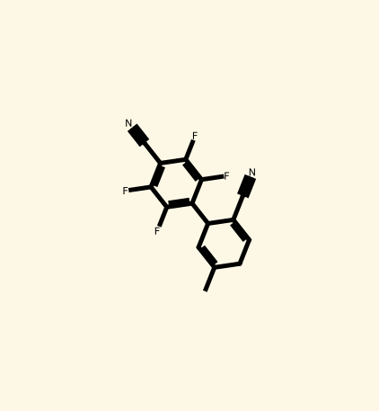 CC1=CC(c2c(F)c(F)c(C#N)c(F)c2F)C(C#N)=CC1